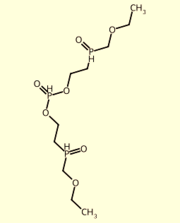 CCOC[PH](=O)CCO[PH](=O)OCC[PH](=O)COCC